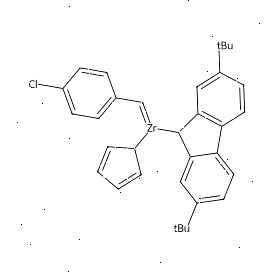 CC(C)(C)c1ccc2c(c1)[CH]([Zr](=[CH]c1ccc(Cl)cc1)[CH]1C=CC=C1)c1cc(C(C)(C)C)ccc1-2